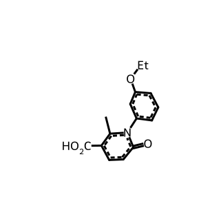 CCOc1cccc(-n2c(C)c(C(=O)O)ccc2=O)c1